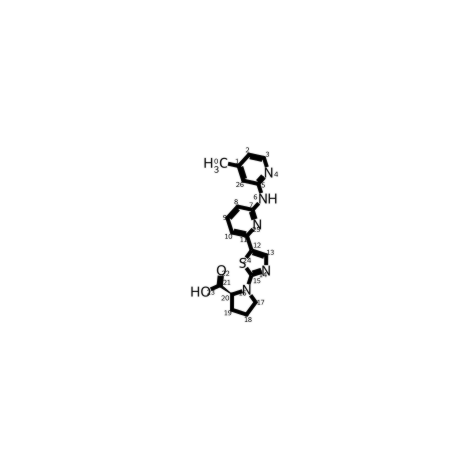 Cc1ccnc(Nc2cccc(-c3cnc(N4CCC[C@H]4C(=O)O)s3)n2)c1